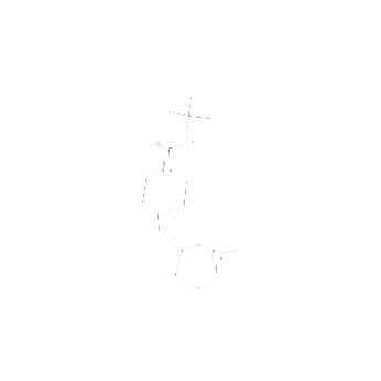 CN1CCCC(OC2CCN(C(=O)OC(C)(C)C)CC2)C1